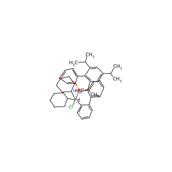 CC(C)c1cc(C(C)C)c(-c2ccccc2[PH][Pd]([Cl])([c]2ccccc2-c2ccccc2N)([CH]2CCCCC2)[CH]2CCCCC2)c(C(C)C)c1